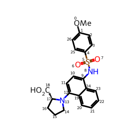 COc1ccc(S(=O)(=O)Nc2ccc(N3CCC[C@H]3C(=O)O)c3ccccc23)cc1